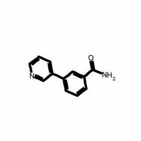 NC(=O)c1cccc(-c2cccnc2)c1